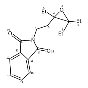 CCC1(CC)OC1(CC)CCN1C(=O)c2ccccc2C1=O